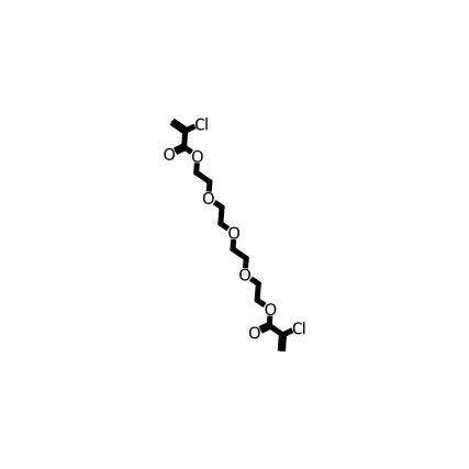 C=C(Cl)C(=O)OCCOCCOCCOCCOC(=O)C(=C)Cl